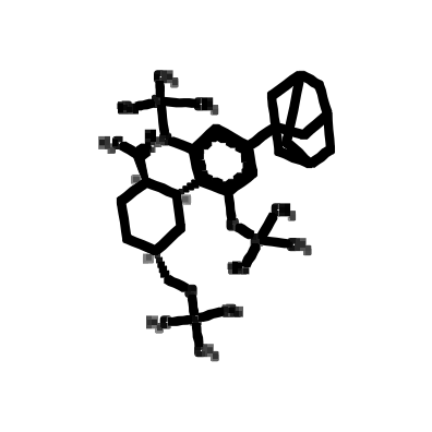 C=C(C)[C@@H]1CC[C@@H](CO[Si](C)(C)C(C)(C)C)C[C@H]1c1c(O[Si](C)(C)C(C)(C)C)cc(C23CC4CC(CC(C4)C2)C3)cc1O[Si](C)(C)C(C)(C)C